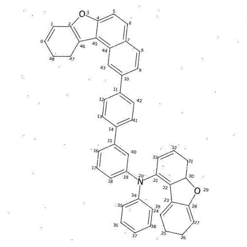 C1=Cc2oc3ccc4ccc(-c5ccc(-c6cccc(N(C7=C8C9=CCCC=C9OC8CC=C7)c7ccccc7)c6)cc5)cc4c3c2CC1